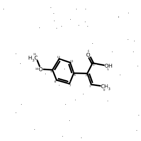 CC=C(C(=O)O)c1ccc(OC)cc1